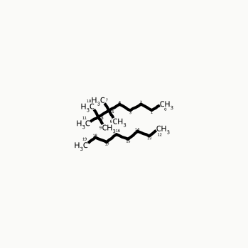 CCCCCC(C)(C)C(C)(C)C.CCCCCCCC